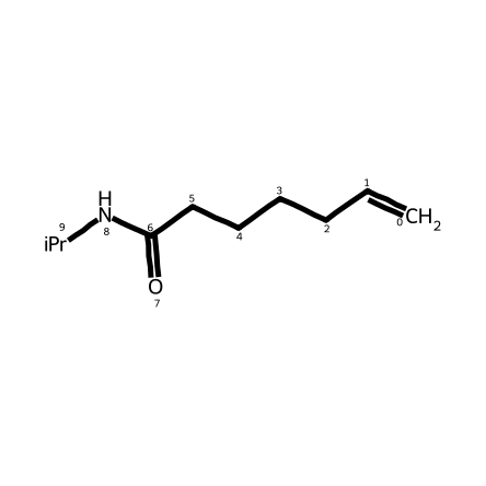 C=CCCCCC(=O)NC(C)C